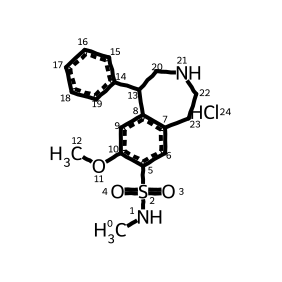 CNS(=O)(=O)c1cc2c(cc1OC)C(c1ccccc1)CNCC2.Cl